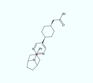 CC(C)C(=O)C[C@H]1CC[C@@H](c2cnc(N3C4CCC3CN(C(C)C)C4)nc2)CC1